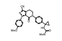 CNC(=O)NC1(c2ccc(N3CCc4c(C#N)nn(-c5ccc(OC)cc5)c4C3=O)cc2)CC1